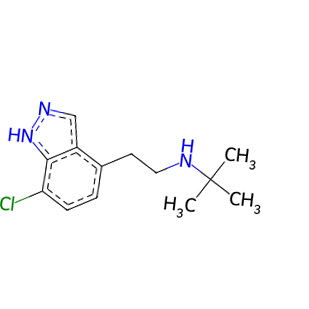 CC(C)(C)NCCc1ccc(Cl)c2[nH]ncc12